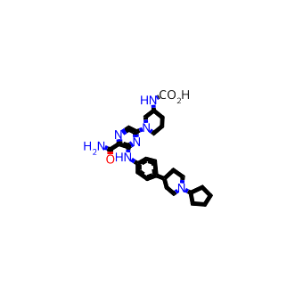 NC(=O)c1ncc(N2CCCC(NC(=O)O)C2)nc1Nc1ccc(C2CCN(C3CCCC3)CC2)cc1